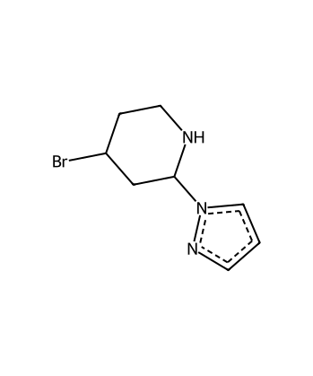 BrC1CCNC(n2cccn2)C1